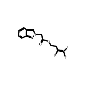 O=C(Cn1cc2ccccc2n1)OCCC(F)=C(F)F